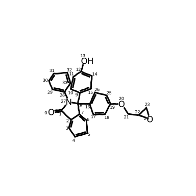 O=C1c2ccccc2C(c2ccc(O)cc2)(c2ccc(OCC3CO3)cc2)N1c1ccccc1